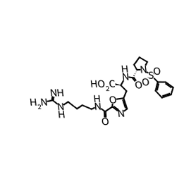 N=C(N)NCCCCNC(=O)c1ncc(C[C@H](NC(=O)[C@@H]2CCCN2S(=O)(=O)c2ccccc2)C(=O)O)o1